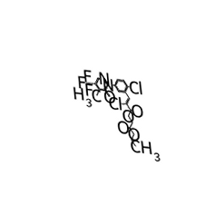 CCOC(=O)COC(=O)C(Cl)=Cc1cc(-n2ncc(C(F)(F)F)c(C)c2=O)ccc1Cl